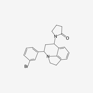 O=C1CCCN1C1CC(c2cccc(Br)c2)N2CCc3cccc1c32